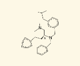 CC(C)Cc1cccc(CN(Cc2ccccc2)[C@@H](CCc2ccccc2)CN(C)C)c1